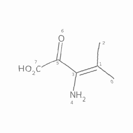 CC(C)=C(N)C(=O)C(=O)O